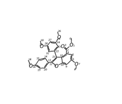 COC(=O)c1cc(OC)cc2oc(-c3ccc(OC)cc3)c(-c3cc(OC)cc(OC)c3)c12